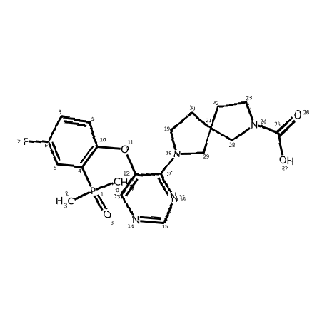 CP(C)(=O)c1cc(F)ccc1Oc1cncnc1N1CCC2(CCN(C(=O)O)C2)C1